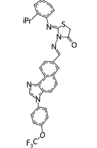 CC(C)c1ccccc1/N=C1\SCC(=O)N1/N=C/c1ccc2c(ccc3c2ncn3-c2ccc(OC(F)(F)F)cc2)c1